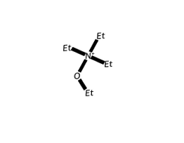 CCO[N+](CC)(CC)CC